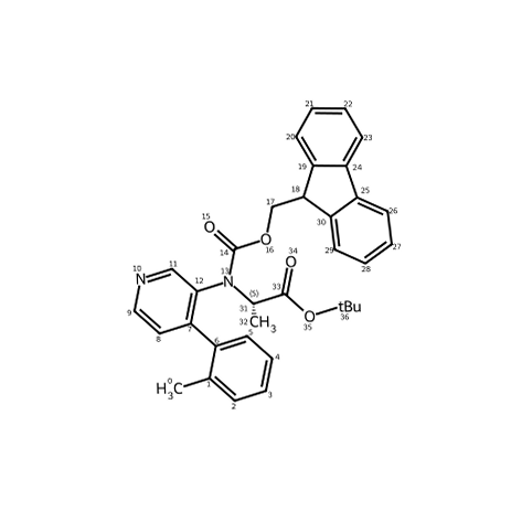 Cc1ccccc1-c1ccncc1N(C(=O)OCC1c2ccccc2-c2ccccc21)[C@@H](C)C(=O)OC(C)(C)C